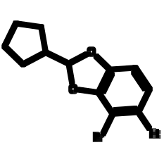 CCc1ccc2c(c1Br)OC(C1CCCC1)O2